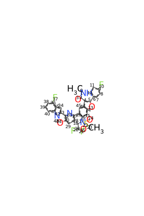 CNC(=O)c1c(-c2ccc(F)cc2)oc2cc(N(CC(F)F)S(C)(=O)=O)c(-c3ccc4c(n3)-c3cc5c(F)cccc5n3CO4)cc12